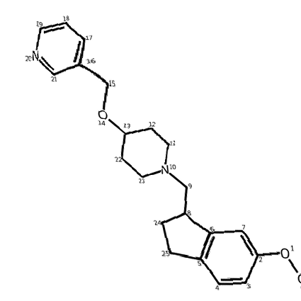 COc1ccc2c(c1)C(CN1CCC(OCc3cccnc3)CC1)CC2